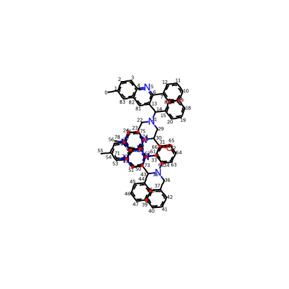 Cc1ccc2nc(-c3ccccc3)c(C(c3ccccc3)N(Cc3ccccc3)CC(C(=O)C(CN(Cc3ccccc3)C(c3ccccc3)c3cc4cc(C)ccc4nc3-c3ccccc3)N3CCN(C)CC3)N3CCN(C)CC3)cc2c1